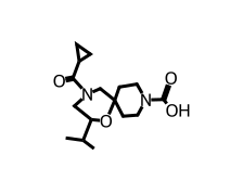 CC(C)C1CN(C(=O)C2CC2)CC2(CCN(C(=O)O)CC2)O1